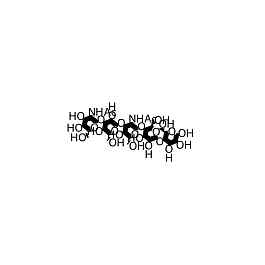 CC(=O)N[C@H]1[C@H](O[C@H]2[C@@H](O)[C@@H](CO)O[C@@H](O[C@H]3[C@@H](O)[C@@H](CO)O[C@@H](O[C@@H]4[C@H](O)[C@@H](O)[C@H](O[C@H]5[C@H](O)[C@@H](O)[C@H](O)O[C@@H]5CO)O[C@@H]4CO)[C@@H]3NC(C)=O)[C@@H]2O)O[C@H](CO)[C@H](O)[C@@H]1O